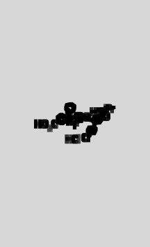 CC(C)C(=O)Nc1ccc(-c2ccc(Cl)cc2)c(COc2ccc(-c3nc4cc(C(=O)O)ccc4n3C3CCCCC3)c(F)c2)c1.Cl